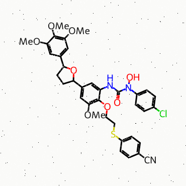 COc1cc(C2CCC(c3cc(OC)c(OC)c(OC)c3)O2)cc(NC(=O)N(O)c2ccc(Cl)cc2)c1OCCSc1ccc(C#N)cc1